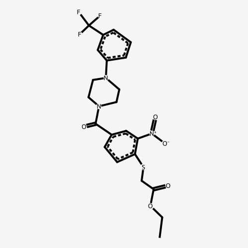 CCOC(=O)CSc1ccc(C(=O)N2CCN(c3cccc(C(F)(F)F)c3)CC2)cc1[N+](=O)[O-]